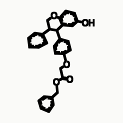 O=C(COc1ccc(C2c3cc(O)ccc3OCC2c2ccccc2)cc1)OCc1ccccc1